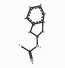 O=C(I)OC1Cc2ccccc2C1